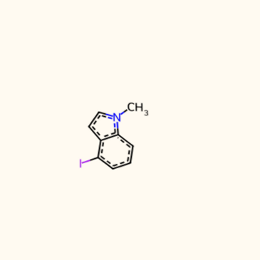 Cn1ccc2c(I)cccc21